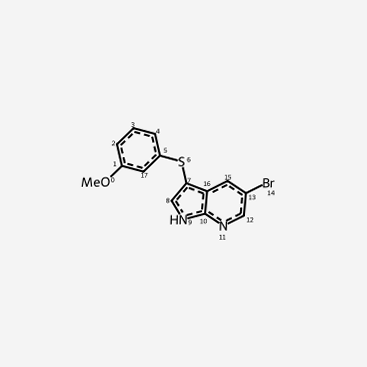 COc1cccc(Sc2c[nH]c3ncc(Br)cc23)c1